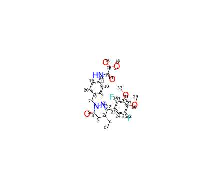 CCC1CC(=O)N(Cc2ccc(NC(=O)C(=O)OC)cc2)N=C1c1cc(F)c(OC)c(OC)c1F